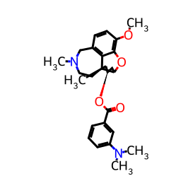 COc1ccc2c3c1OC1C[C@@H](OC(=O)c4cccc(N(C)C)c4)C(C)[C@@]31CCN(C)C2